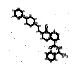 C[C@H](NC(=O)c1cccc2c1CCC(CCN1CCC(c3ccccc3)CC1)C2=O)c1ccccc1